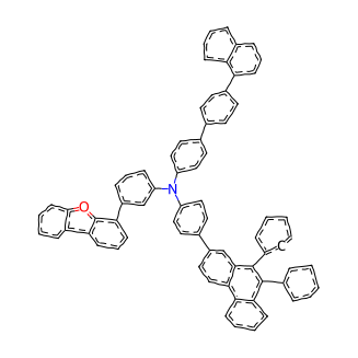 c1ccc(-c2c(-c3ccccc3)c3cc(-c4ccc(N(c5ccc(-c6ccc(-c7cccc8ccccc78)cc6)cc5)c5cccc(-c6cccc7c6oc6ccccc67)c5)cc4)ccc3c3ccccc23)cc1